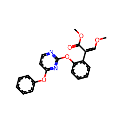 COC=C(C(=O)OC)c1ccccc1Oc1nccc(Oc2ccccc2)n1